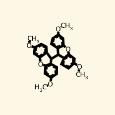 COc1ccc2c(c1)Oc1cc(OC)ccc1C2C1c2ccc(OC)cc2Oc2cc(OC)ccc21